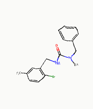 CCN(Cc1ccccc1)C(=O)NCc1cc(C(F)(F)F)ccc1Br